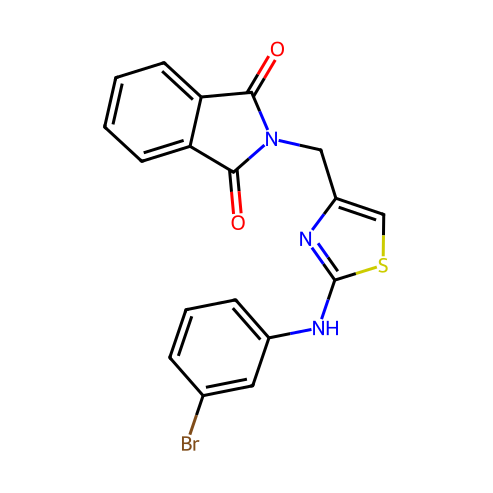 O=C1c2ccccc2C(=O)N1Cc1csc(Nc2cccc(Br)c2)n1